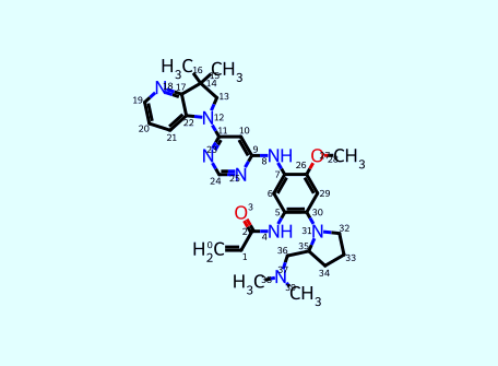 C=CC(=O)Nc1cc(Nc2cc(N3CC(C)(C)c4ncccc43)ncn2)c(OC)cc1N1CCCC1CN(C)C